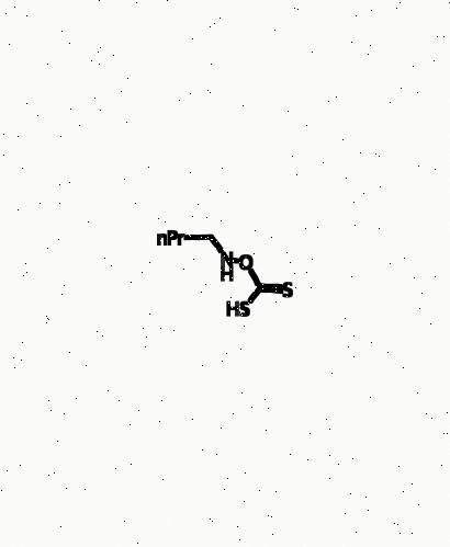 CCCCNOC(=S)S